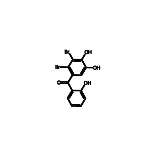 O=C(c1ccccc1O)c1cc(O)c(O)c(Br)c1Br